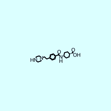 O=C(N[C@H]1CC[C@H](C(=O)O)CC1)c1ccc(CCN2CCNCC2)cc1